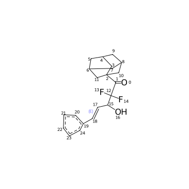 O=C(C12CC3CC(CC(C3)C1)C2)C(F)(F)C(O)/C=C/c1ccccc1